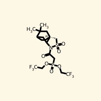 CC1(C)C[C@]23CCC1CC2N(C(=O)CP(=O)(OCC(F)(F)F)OCC(F)(F)F)S(=O)(=O)C3